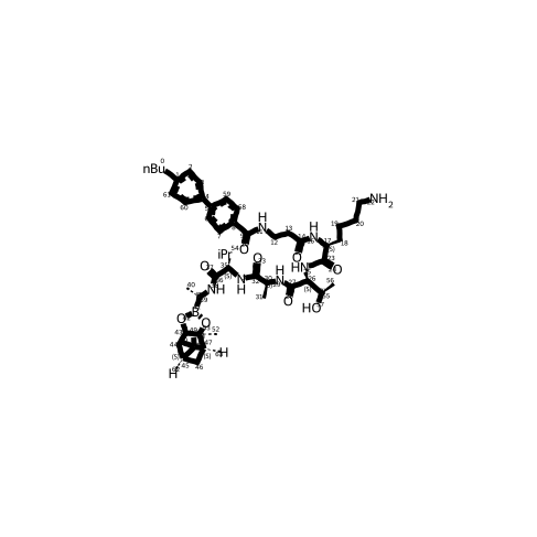 CCCCc1ccc(-c2ccc(C(=O)NCCC(=O)N[C@@H](CCCCN)C(=O)N[C@H](C(=O)N[C@@H](C)C(=O)N[C@H](C(=O)N[C@@H](C)B3OC4C[C@@H]5C[C@@H](C5(C)C)[C@]4(C)O3)C(C)C)[C@@H](C)O)cc2)cc1